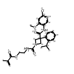 C=C(C)C(=O)OCCNC(=O)N1CC(C(=O)Nc2cnc(Cl)cc2OC)(c2ccccc2C(C)C)C1